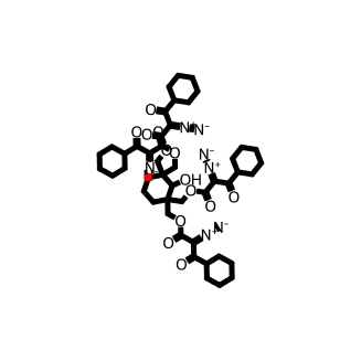 [N-]=[N+]=C(C(=O)OCC1(COC(=O)C(=[N+]=[N-])C(=O)C2CCCCC2)CCCC(COC(=O)C(=[N+]=[N-])C(=O)C2CCCCC2)(COC(=O)C(=[N+]=[N-])C(=O)C2CCCCC2)C1O)C(=O)C1CCCCC1